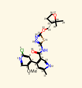 COc1cnc(Cl)cc1-c1cc(C)ncc1C(=O)Nc1nnc(OC[C@@H]2CCOC2(C)C)s1